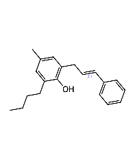 CCCCc1cc(C)cc(C/C=C/c2ccccc2)c1O